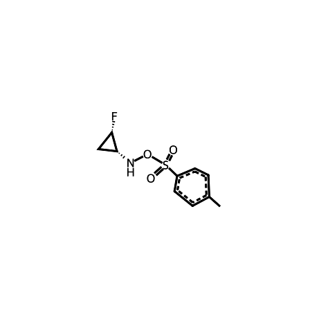 Cc1ccc(S(=O)(=O)ON[C@@H]2C[C@@H]2F)cc1